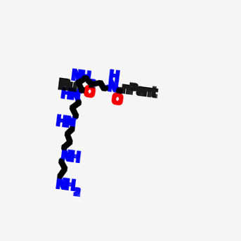 CCCCCC(=O)NCCCCC(N)(C(=O)NCCCNCCCCNCCCN)C(C)CC